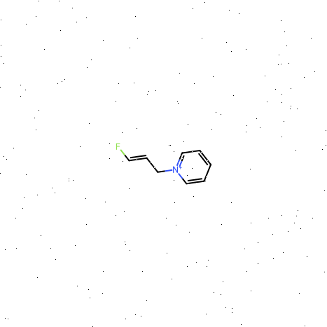 FC=CC[n+]1ccccc1